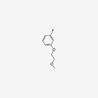 COCCOc1cc[c]c(F)c1